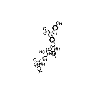 CC(C)CC(NC(=O)Cc1ccc(NC(=C[N+](=O)[O-])Nc2ccc(O)cc2)cc1)C(=O)NC(CCNCC(NC(=O)CC(C)(C)C)C(=O)O)C(=O)O